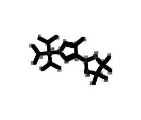 Cc1cn([Si](C(C)C)(C(C)C)C(C)C)cc1B1OC(C)(C)C(C)(C)O1